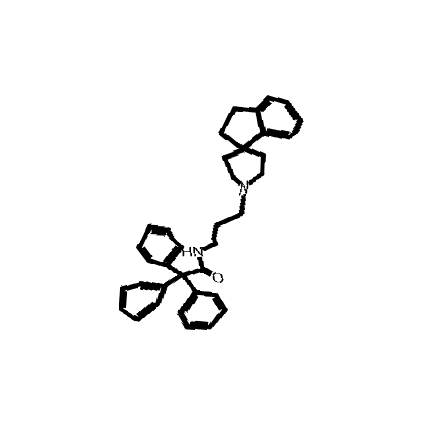 O=C(NCCCN1CCC2(CCc3ccccc32)CC1)C(c1ccccc1)(c1ccccc1)c1ccccc1